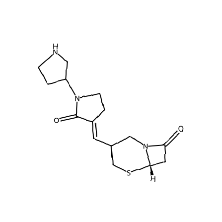 O=C1C(=CC2CS[C@H]3CC(=O)N3C2)CCN1C1CCNC1